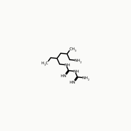 CCC(CNC(=N)NC(=N)N)CC(C)CN